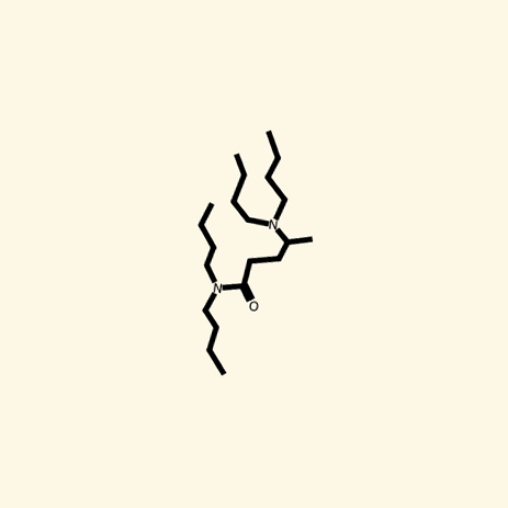 CCCCN(CCCC)C(=O)CCC(C)N(CCCC)CCCC